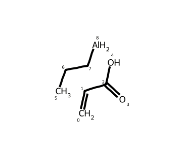 C=CC(=O)O.CC[CH2][AlH2]